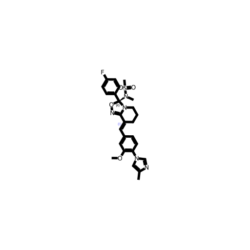 COc1cc(/C=C2\CCCN3C2=NO[C@@]3(c2ccc(F)cc2)N(C)S(C)(=O)=O)ccc1-n1cnc(C)c1